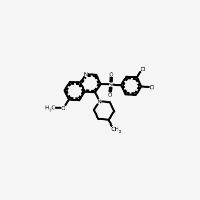 COc1ccc2ncc(S(=O)(=O)c3ccc(Cl)c(Cl)c3)c(N3CCC(C)CC3)c2c1